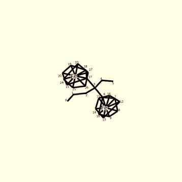 CCCC(CC)([C]12[CH]3[CH]4[CH]5[CH]1[Fe]45321678[CH]2[CH]1[CH]6[CH]7[CH]28)[C]12[CH]3[CH]4[CH]5[CH]1[Fe]45321678[CH]2[CH]1[CH]6[CH]7[CH]28